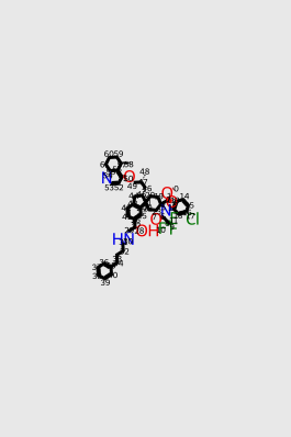 COC(=O)C1(N(C(=O)C(F)(F)F)c2cccc(Cl)c2)CCC2(CC1)c1cc([C@@H](O)CNCCCCc3ccccc3)ccc1C[C@@H]2C[C@@H](C)COc1ccnc2c1[C@H](C)CCC2